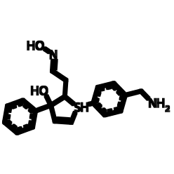 NCc1ccc([SH]2C=CC(O)(c3ccccc3)C2CC=NO)cc1